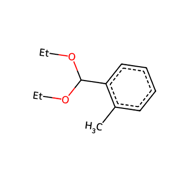 CCOC(OCC)c1ccccc1C